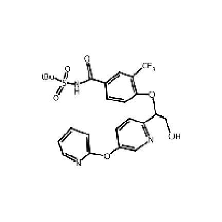 CC(C)(C)S(=O)(=O)NC(=O)c1ccc(OC(CO)c2ccc(Oc3ccccn3)cn2)c(C(F)(F)F)c1